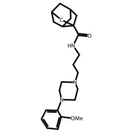 COc1ccccc1N1CCN(CCCNC(=O)C23CC4CC(CC2C4)C3)CC1